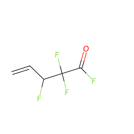 C=CC(F)C(F)(F)C(=O)F